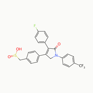 O=C1C(c2ccc(F)cc2)=C(c2ccc(CS(=O)O)cc2)CN1c1ccc(C(F)(F)F)cc1